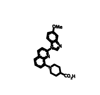 COc1ccc2c(c1)ncn2-c1ccc2cccc(N3CCC(C(=O)O)CC3)c2n1